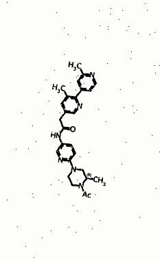 CC(=O)N1CCN(c2ccc(NC(=O)Cc3cnc(-c4ccnc(C)c4)c(C)c3)cn2)C[C@H]1C